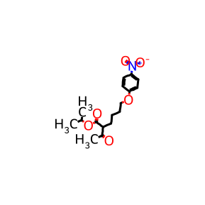 CC(=O)C(CCCCOc1ccc([N+](=O)[O-])cc1)C(=O)OC(C)C